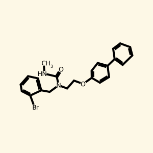 CNC(=O)N(CCOc1ccc(-c2ccccc2)cc1)Cc1ccccc1Br